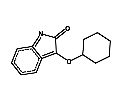 O=C1N=c2ccccc2=C1OC1CCCCC1